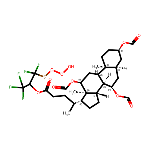 CC(CCC(=O)OC(C(F)(F)F)C(F)(F)SOOO)[C@H]1CC[C@H]2[C@@H]3[C@H](OC=O)C[C@@H]4C[C@H](OC=O)CC[C@]4(C)[C@H]3C[C@H](OC=O)[C@]12C